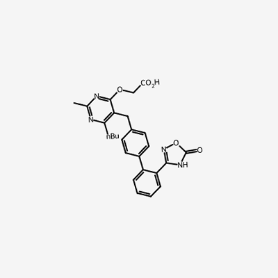 CCCCc1nc(C)nc(OCC(=O)O)c1Cc1ccc(-c2ccccc2-c2noc(=O)[nH]2)cc1